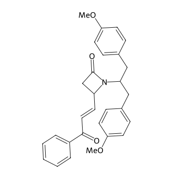 COc1ccc(CC(Cc2ccc(OC)cc2)N2C(=O)CC2C=CC(=O)c2ccccc2)cc1